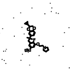 CC(C)(C)c1cc(CC(C)(C)c2ccc3c(c2)OC(C2CC2)CO3)c(F)c(OCCN2CCCC2)c1